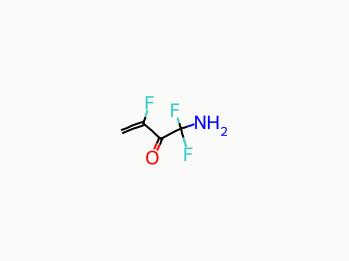 C=C(F)C(=O)C(N)(F)F